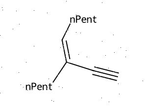 C#C/C(=C\CCCCC)CCCCC